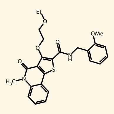 CCOCCOc1c(C(=O)NCc2ccccc2OC)sc2c1c(=O)n(C)c1ccccc21